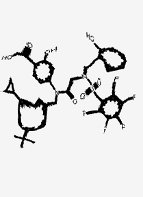 CC(C)(C)c1cc(CN(C(=O)CN(Cc2ccccc2O)S(=O)(=O)c2c(F)c(F)c(F)c(F)c2F)c2ccc(C(=O)O)c(O)c2)cc(C2CC2)c1